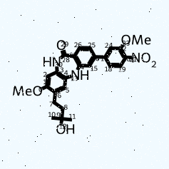 COc1cc2c(cc1CCC(C)(C)O)Nc1cc(-c3ccc([N+](=O)[O-])c(OC)c3)ccc1C(=O)N2